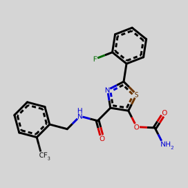 NC(=O)Oc1sc(-c2ccccc2F)nc1C(=O)NCc1ccccc1C(F)(F)F